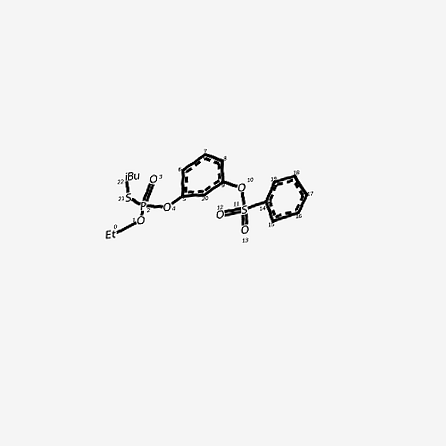 CCOP(=O)(Oc1cccc(OS(=O)(=O)c2ccccc2)c1)SC(C)CC